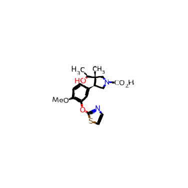 COc1ccc([C@@H]2CN(C(=O)O)C[C@@]2(C)[C@H](C)O)cc1Oc1nccs1